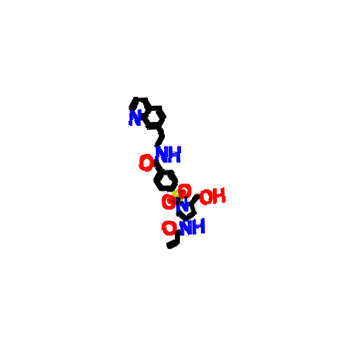 C=CC(=O)NC1CC(CO)N(S(=O)(=O)c2ccc(C(=O)NCCc3ccc4cccnc4c3)cc2)C1